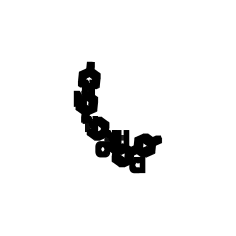 Cc1ccc(-c2cc(C(=O)NC3CCN(Cc4ccc(N5CCC(C)CC5)nc4)CC3)ccc2Cl)cc1